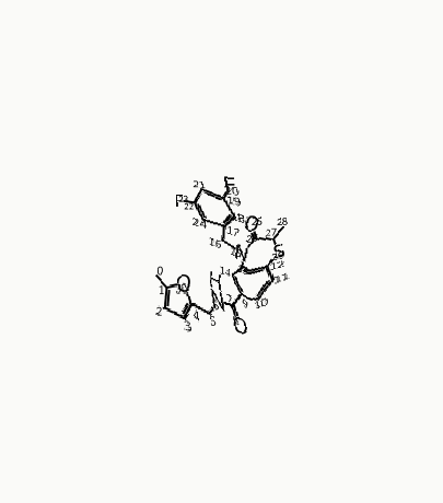 Cc1ccc(CNC(=O)c2ccc3c(c2)N(Cc2cc(F)cc(F)c2)C(=O)C(C)S3)o1